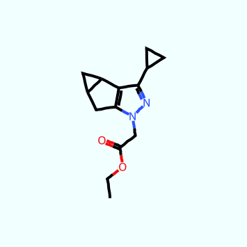 CCOC(=O)Cn1nc(C2CC2)c2c1CC1CC21